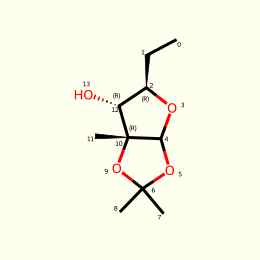 CC[C@H]1OC2OC(C)(C)O[C@]2(C)[C@@H]1O